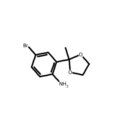 CC1(c2cc(Br)ccc2N)OCCO1